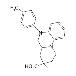 CC1(C(=O)O)CCN2c3ccccc3N(c3ccc(C(F)(F)F)cc3)CC2C1